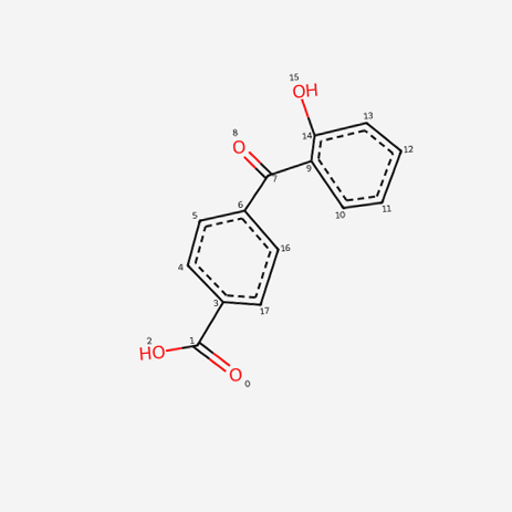 O=C(O)c1ccc(C(=O)c2ccccc2O)cc1